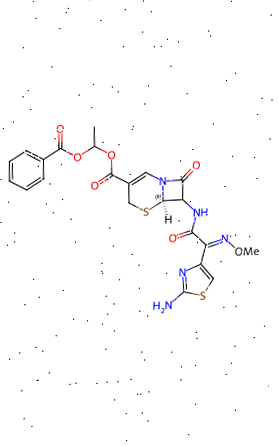 CON=C(C(=O)NC1C(=O)N2C=C(C(=O)OC(C)OC(=O)c3ccccc3)CS[C@H]12)c1csc(N)n1